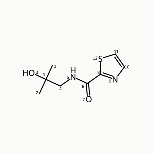 CC(C)(O)CNC(=O)c1nccs1